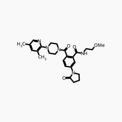 COCCNC(=O)c1cc(N2CCCC2=O)ccc1C(=O)N1CCN(c2ncc(C)cc2C)CC1